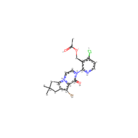 CC(=O)OCc1c(Cl)ccnc1-n1ccn2c3c(c(Br)c2c1=O)CC(C)(C)C3